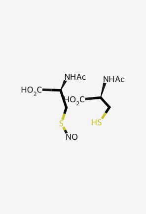 CC(=O)N[C@@H](CS)C(=O)O.CC(=O)N[C@@H](CSN=O)C(=O)O